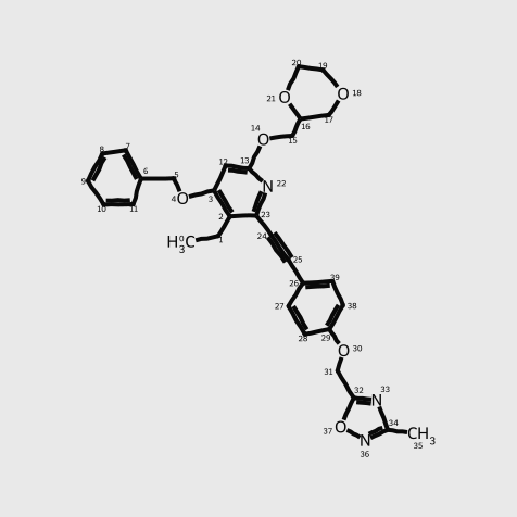 CCc1c(OCc2ccccc2)cc(OCC2COCCO2)nc1C#Cc1ccc(OCc2nc(C)no2)cc1